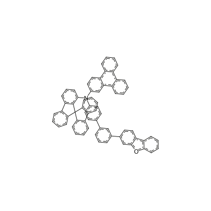 c1cc(-c2ccc(N(c3ccc4c5ccccc5c5ccccc5c4c3)c3cccc4c3C3(c5ccccc5-c5ccccc53)c3ccccc3-4)cc2)cc(-c2ccc3c(c2)oc2ccccc23)c1